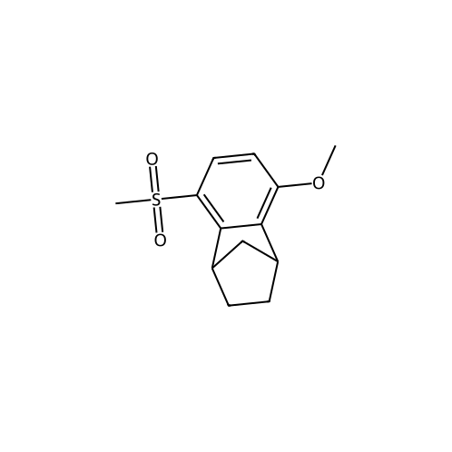 COc1ccc(S(C)(=O)=O)c2c1C1CCC2C1